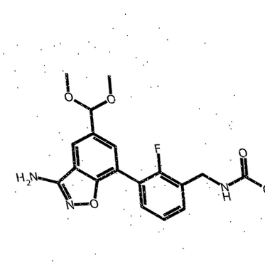 COC(OC)c1cc(-c2cccc(CNC(=O)O)c2F)c2onc(N)c2c1